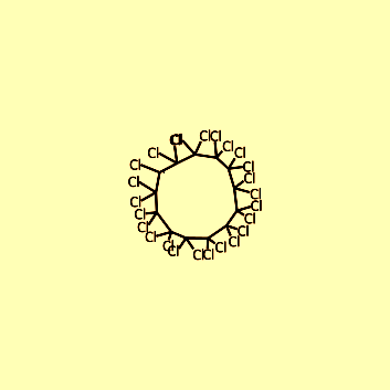 Cl[C]1C(Cl)(Cl)C(Cl)(Cl)C(Cl)(Cl)C(Cl)(Cl)C(Cl)(Cl)C(Cl)(Cl)C(Cl)(Cl)C(Cl)(Cl)C(Cl)(Cl)C(Cl)(Cl)C(Cl)(Cl)C1(Cl)Cl